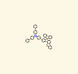 c1ccc(-c2ccc(N(c3ccc(-c4ccccc4)cc3)c3ccc(-c4ccc5c(c4)C4(c6ccccc6-c6ccccc64)c4ccc6c(sc7ccccc76)c4-5)cc3)cc2)cc1